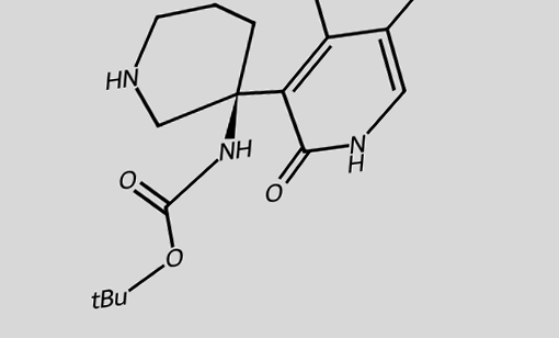 Cc1c(Br)c[nH]c(=O)c1[C@@]1(NC(=O)OC(C)(C)C)CCCNC1